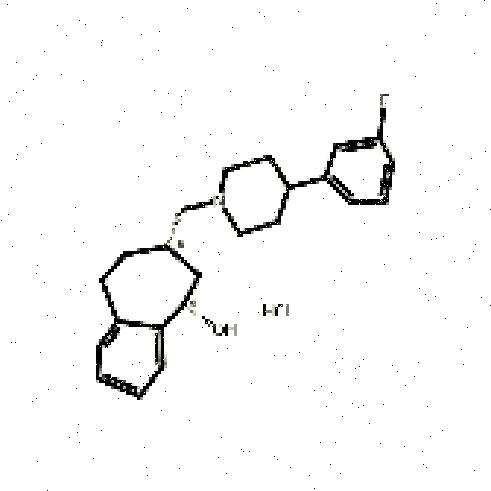 Cl.O[C@H]1C[C@@H](CN2CCC(c3cccc(F)c3)CC2)CCc2ccccc21